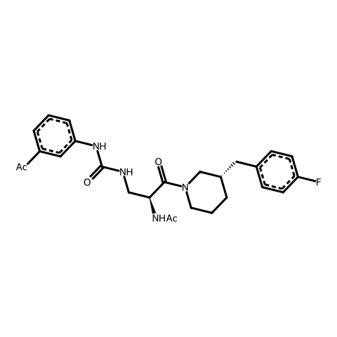 CC(=O)N[C@@H](CNC(=O)Nc1cccc(C(C)=O)c1)C(=O)N1CCC[C@@H](Cc2ccc(F)cc2)C1